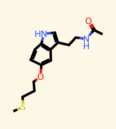 CSCCCOc1ccc2[nH]cc(CCNC(C)=O)c2c1